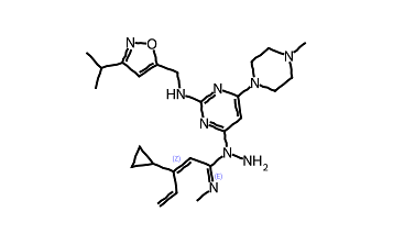 C=C/C(=C\C(=N/C)N(N)c1cc(N2CCN(C)CC2)nc(NCc2cc(C(C)C)no2)n1)C1CC1